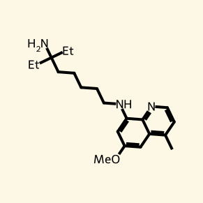 CCC(N)(CC)CCCCCNc1cc(OC)cc2c(C)ccnc12